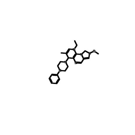 CCN1C=C(C)C(N2CCN(c3ccccc3)CC2)C2=C1N1CN(OC)C=C1C=N2